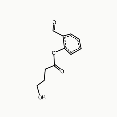 O=Cc1ccccc1OC(=O)CCCO